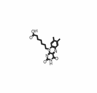 Cc1cc2nc3c(=O)[nH]c(=O)nc-3n(CCCCCCC(=O)O)c2cc1C